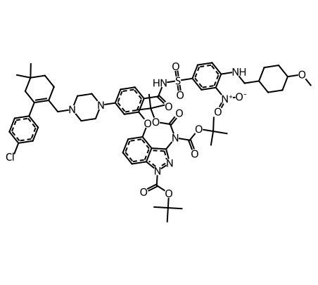 COC1CCC(CNc2ccc(S(=O)(=O)NC(=O)c3ccc(N4CCN(CC5=C(c6ccc(Cl)cc6)CC(C)(C)CC5)CC4)cc3Oc3cccc4c3c(N(C(=O)OC(C)(C)C)C(=O)OC(C)(C)C)nn4C(=O)OC(C)(C)C)cc2[N+](=O)[O-])CC1